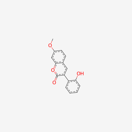 COc1ccc2cc(-c3ccccc3O)c(=O)oc2c1